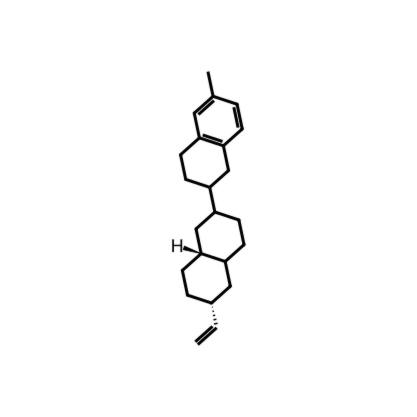 C=C[C@@H]1CC[C@@H]2CC(C3CCc4cc(C)ccc4C3)CCC2C1